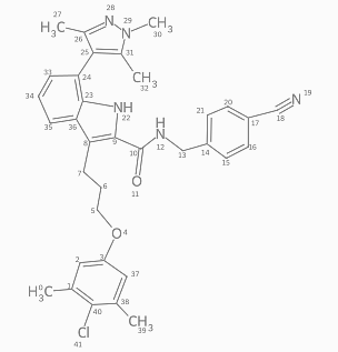 Cc1cc(OCCCc2c(C(=O)NCc3ccc(C#N)cc3)[nH]c3c(-c4c(C)nn(C)c4C)cccc23)cc(C)c1Cl